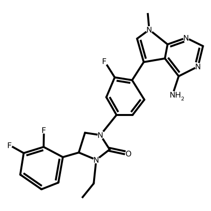 CCN1C(=O)N(c2ccc(-c3cn(C)c4ncnc(N)c34)c(F)c2)CC1c1cccc(F)c1F